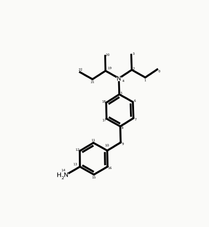 CCC(C)N(c1ccc(Cc2ccc(N)cc2)cc1)C(C)CC